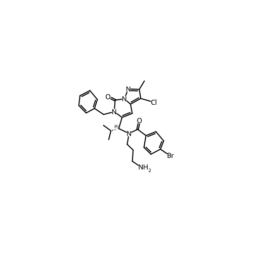 Cc1nn2c(=O)n(Cc3ccccc3)c([C@@H](C(C)C)N(CCCN)C(=O)c3ccc(Br)cc3)cc2c1Cl